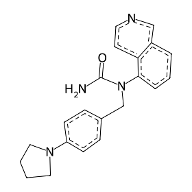 NC(=O)N(Cc1ccc(N2CCCC2)cc1)c1cccc2cnccc12